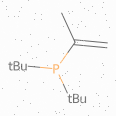 C=C(C)P(C(C)(C)C)C(C)(C)C